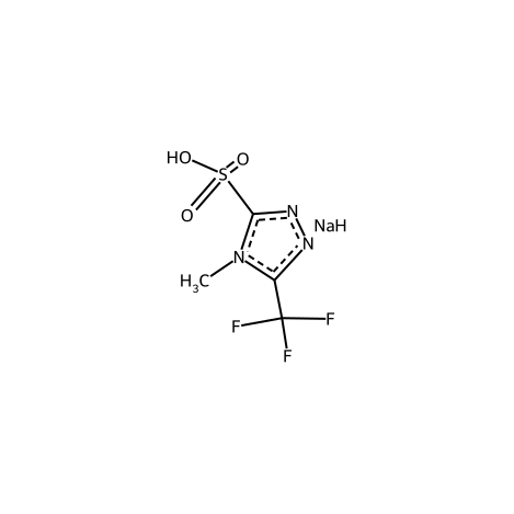 Cn1c(C(F)(F)F)nnc1S(=O)(=O)O.[NaH]